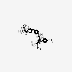 CC(=O)NC(C)C(=O)N1CCC(Cc2ccc(NC(=O)Nc3cc(C(C)(C)C)nn3-c3ccc(C)cc3)cc2)CC1